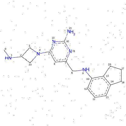 CNC1CN(c2cc(CNc3cccc4c3CCC4)nc(N)n2)C1